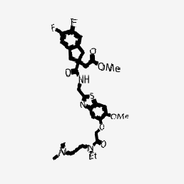 CCN(CCN(C)C)C(=O)COc1cc2nc(CNC(=O)C3(CC(=O)OC)Cc4cc(F)c(F)cc4C3)sc2cc1OC